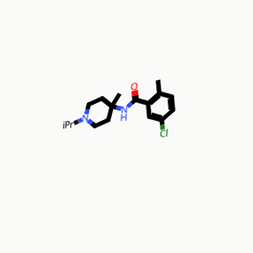 Cc1ccc(Cl)cc1C(=O)NC1(C)CCN(C(C)C)CC1